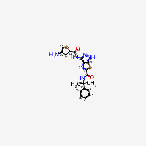 CC(C)(NC(=O)c1nc2c(NC(=O)C3CC(N)=CS3)n[nH]c2s1)c1ccccc1